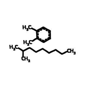 CCCCCCCC(C)C.Cc1ccccc1C